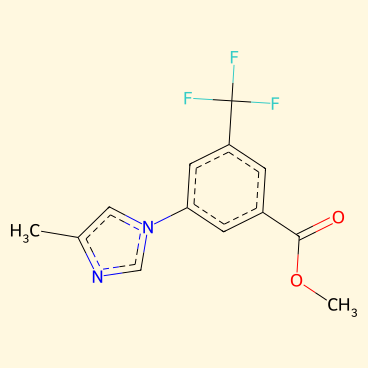 COC(=O)c1cc(-n2cnc(C)c2)cc(C(F)(F)F)c1